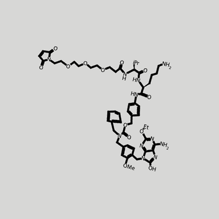 CCOc1nc(N)c2nc(O)n(Cc3ccc(CN(Cc4ccccc4)C(=O)OCc4ccc(NC(=O)[C@H](CCCCN)NC(=O)[C@@H](NC(=O)CCOCCOCCOCCN5C(=O)C=CC5=O)C(C)C)cc4)cc3OC)c2n1